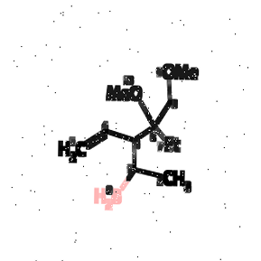 BC(C)C(C=C)C(CC)(COC)OC